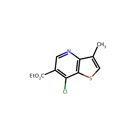 CCOC(=O)c1cnc2c(C)csc2c1Cl